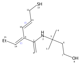 C=C(NC(C)(C)CCO)C(/C=C/CS)=C/CC